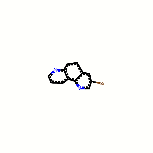 Brc1cnc2c(ccc3ncccc32)c1